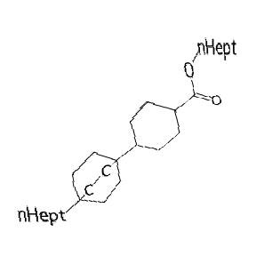 CCCCCCCOC(=O)C1CCC(C23CCC(CCCCCCC)(CC2)CC3)CC1